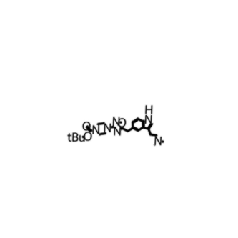 CN(C)CCc1c[nH]c2ccc(Cc3nc(N4CCN(C(=O)OC(C)(C)C)CC4)no3)cc12